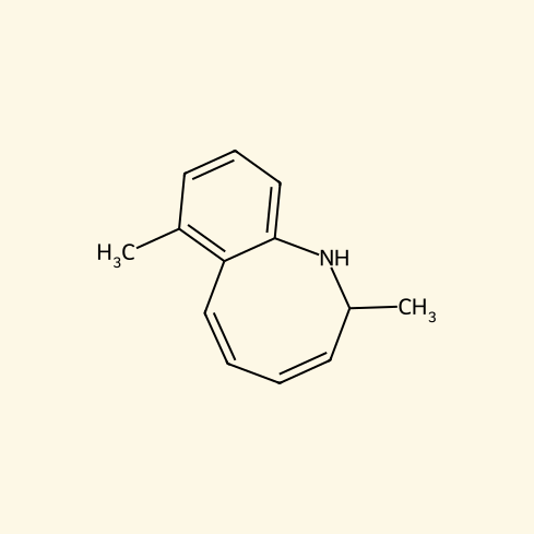 Cc1cccc2c1/C=C\C=C/C(C)N2